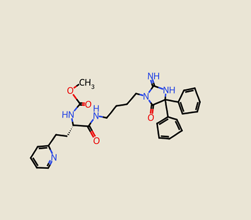 COC(=O)N[C@@H](CCc1ccccn1)C(=O)NCCCCN1C(=N)NC(c2ccccc2)(c2ccccc2)C1=O